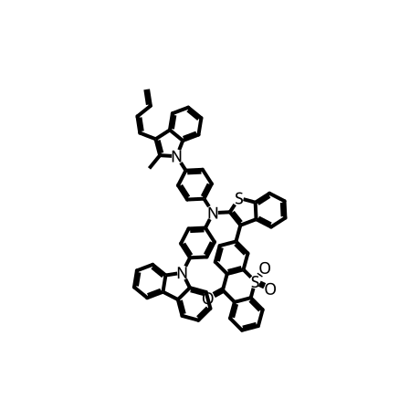 C=C/C=C\c1c(C)n(-c2ccc(N(c3ccc(-n4c5ccccc5c5ccccc54)cc3)c3sc4ccccc4c3-c3ccc4c(c3)S(=O)(=O)c3ccccc3C4=O)cc2)c2ccccc12